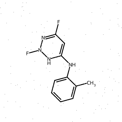 Cc1ccccc1NC1=CC(F)=NN(F)N1